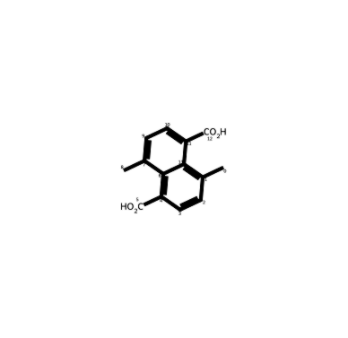 Cc1ccc(C(=O)O)c2c(C)ccc(C(=O)O)c12